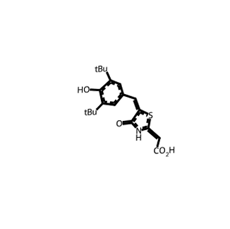 CC(C)(C)c1cc(C=c2sc(=CC(=O)O)[nH]c2=O)cc(C(C)(C)C)c1O